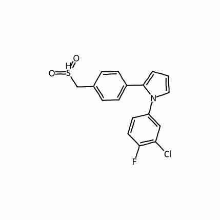 O=[SH](=O)Cc1ccc(-c2cccn2-c2ccc(F)c(Cl)c2)cc1